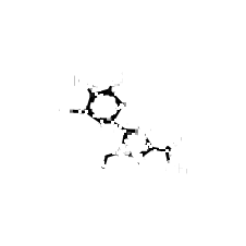 CCn1nc(C(=O)O)nc1-c1cc(Cl)c(O)c(Cl)c1